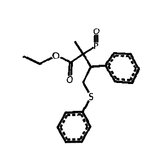 CCOC(=O)C(C)(P=O)C(CSc1ccccc1)c1ccccc1